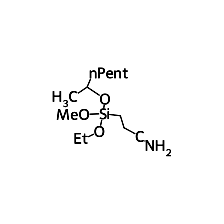 CCCCCC(C)O[Si](CCCN)(OC)OCC